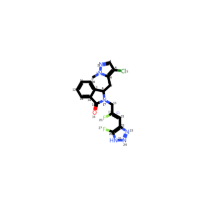 Cn1ncc(Cl)c1CC1c2ccccc2C(=O)N1C/C(F)=C/c1nn[nH]c1F